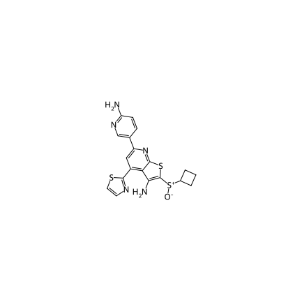 Nc1ccc(-c2cc(-c3nccs3)c3c(N)c([S+]([O-])C4CCC4)sc3n2)cn1